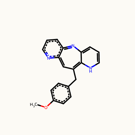 COc1ccc(CC2=C3NC=CC=C3N=c3cccnc3=C2)cc1